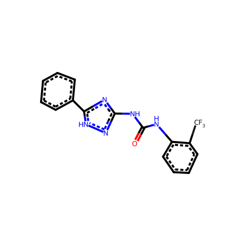 O=C(Nc1n[nH]c(-c2ccccc2)n1)Nc1ccccc1C(F)(F)F